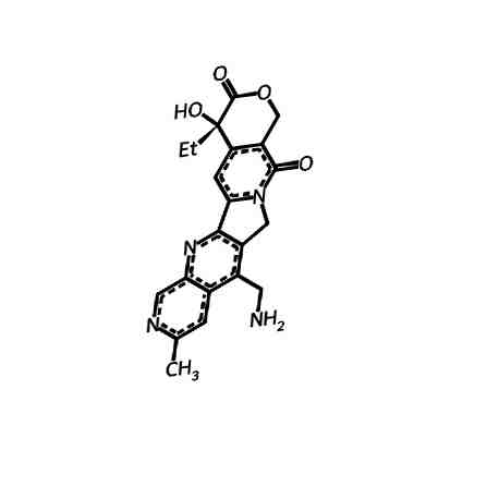 CC[C@@]1(O)C(=O)OCc2c1cc1n(c2=O)Cc2c-1nc1cnc(C)cc1c2CN